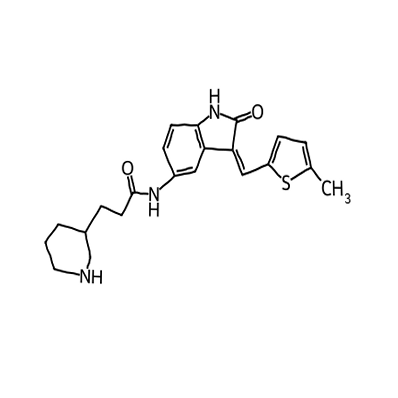 Cc1ccc(C=C2C(=O)Nc3ccc(NC(=O)CCC4CCCNC4)cc32)s1